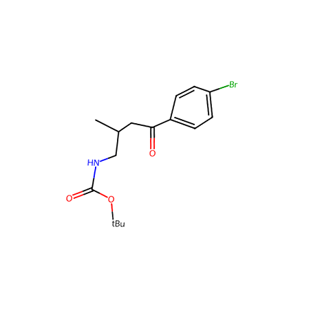 CC(CNC(=O)OC(C)(C)C)CC(=O)c1ccc(Br)cc1